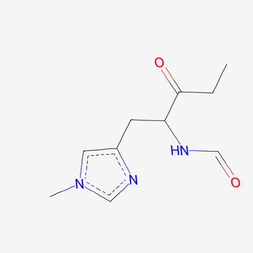 CCC(=O)C(Cc1cn(C)cn1)NC=O